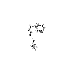 CS(C)(C)(C)(C)/C=C/CC/N=C\c1cccnc1